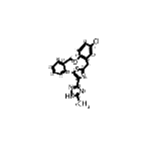 Cc1nc(-c2csc(Cc3cc(Cl)ccc3OCc3ccccc3)n2)n[nH]1